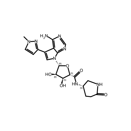 Cn1ccc(-c2cn([C@@H]3O[C@H](C(=O)N[C@H]4CCC(=O)NC4)[C@@H](O)[C@H]3O)c3ncnc(N)c23)n1